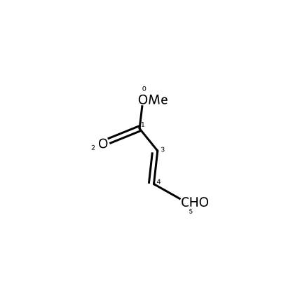 COC(=O)/C=C/C=O